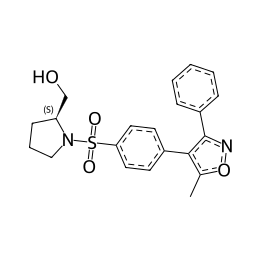 Cc1onc(-c2ccccc2)c1-c1ccc(S(=O)(=O)N2CCC[C@H]2CO)cc1